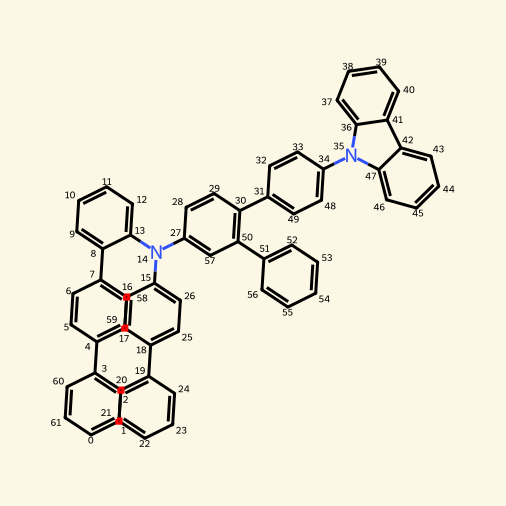 c1ccc(-c2ccc(-c3ccccc3N(c3ccc(-c4ccccc4)cc3)c3ccc(-c4ccc(-n5c6ccccc6c6ccccc65)cc4)c(-c4ccccc4)c3)cc2)cc1